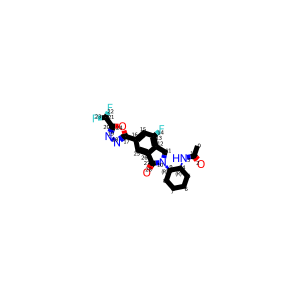 CC(=O)N[C@@H]1CCCC[C@H]1N1Cc2c(F)cc(-c3nnc(C(F)F)o3)cc2C1=O